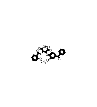 COc1ccccc1C(=O)OC(C(=O)O)C(Oc1ccc(C(=O)c2ccccc2)cc1C)C(=O)O